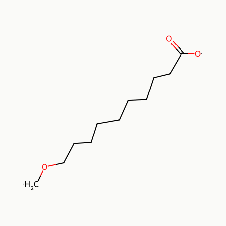 [CH2]OCCCCCCCCCC([O])=O